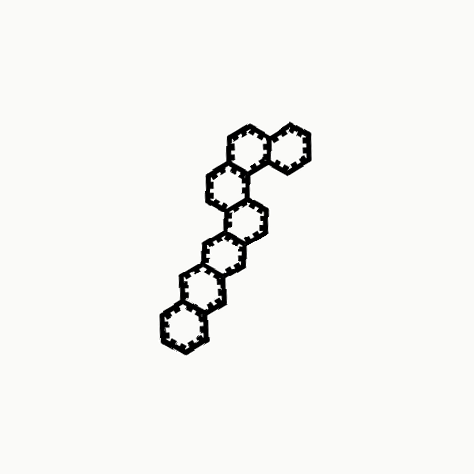 c1ccc2cc3cc4c(ccc5c4ccc4ccc6ccccc6c45)cc3cc2c1